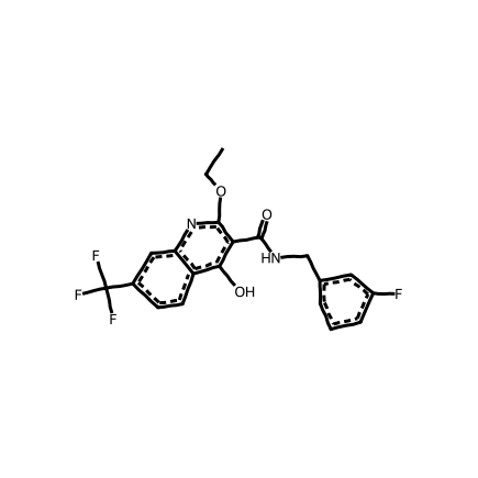 CCOc1nc2cc(C(F)(F)F)ccc2c(O)c1C(=O)NCc1cccc(F)c1